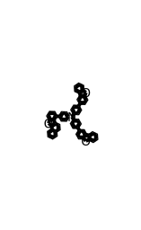 c1ccc2c(c1)ccc1c2oc2cccc(-c3ccc(N(c4ccc(-c5ccc6oc7ccccc7c6c5)cc4)c4ccc(-c5ccc6oc7ccccc7c6c5)cc4)cc3)c21